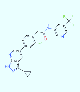 O=C(Cc1ccc(-c2cnc3[nH]nc(C4CC4)c3c2)cc1F)Nc1cncc(C(F)(F)F)c1